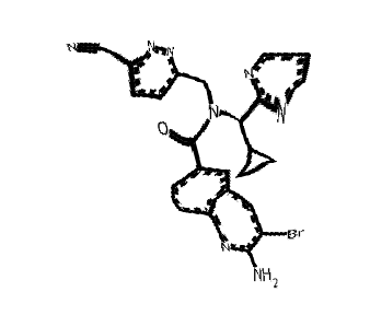 N#Cc1ccc(CN(C(=O)c2ccc3nc(N)c(Br)cc3c2)[C@@H](c2ncccn2)C2CC2)nn1